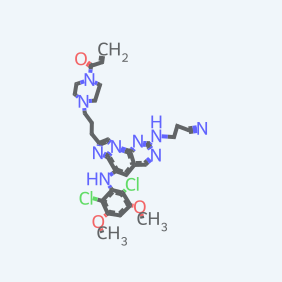 C=CC(=O)N1CCN(CCCc2cn3c(n2)c(Nc2c(Cl)c(OC)cc(OC)c2Cl)cc2cnc(NCCC#N)nc23)CC1